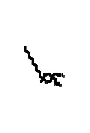 CCCCCCCCCCC1(C)OCC(CN)(CN)CO1